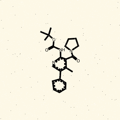 Cc1c(-c2ccccc2)[c]nc(NC(=O)OC(C)(C)C)c1C(=O)N1CCCC1